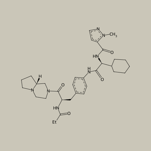 CCC(=O)N[C@H](Cc1ccc(NC(=O)[C@@H](NC(=O)c2ccnn2C)C2CCCCC2)cc1)C(=O)N1CCN2CCC[C@@H]2C1